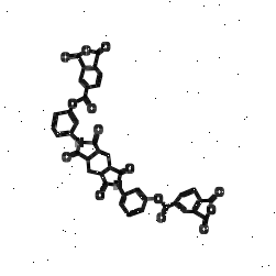 O=C(Oc1cccc(N2C(=O)C3CC4C(=O)N(c5cccc(OC(=O)c6ccc7c(c6)C(=O)OC7=O)c5)C(=O)C4CC3C2=O)c1)c1ccc2c(c1)C(=O)OC2=O